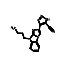 CCCCn1c2ccccc2n2cc(-c3nn[nH]c3C#N)nc12